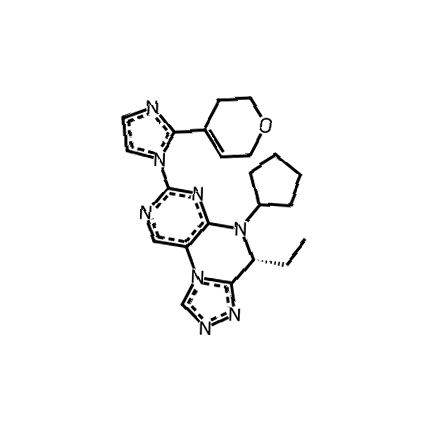 CC[C@@H]1c2nncn2-c2cnc(-n3ccnc3C3=CCOCC3)nc2N1C1CCCC1